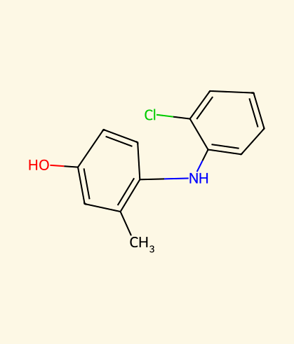 Cc1cc(O)ccc1Nc1ccccc1Cl